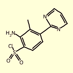 Cc1c(-c2ncccn2)ccc(S(=O)(=O)Cl)c1N